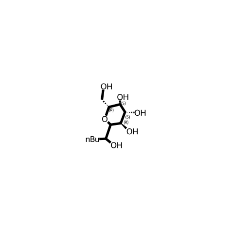 CCCCC(O)C1O[C@H](CO)[C@@H](O)[C@H](O)[C@H]1O